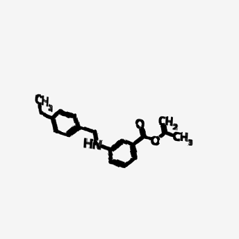 C=C(C)OC(=O)c1cccc(NCc2ccc(CC)cc2)c1